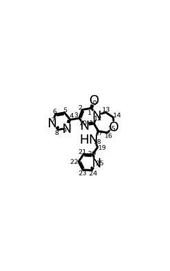 O=c1cc(-c2ccncn2)nc2n1CCOCC2NCc1ccccn1